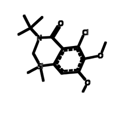 COc1cc2c(c(Cl)c1OC)C(=O)N(C(C)(C)C)C[Si]2(C)C